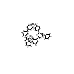 CC1CC=C(c2nc(-c3ccccc3)nc(-c3ccccc3)n2)C=C1c1cccc(-c2cccc(C3=Cc4ccccc4C3(C)C)c2)c1